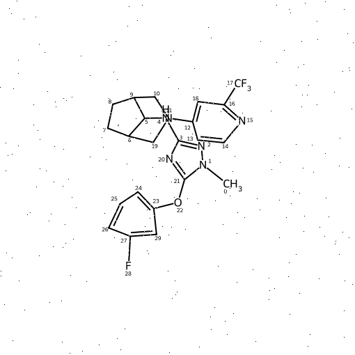 Cn1nc(NC2C3CCC2CN(c2ccnc(C(F)(F)F)c2)C3)nc1Oc1cccc(F)c1